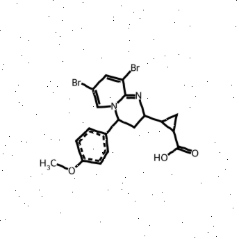 COc1ccc(C2CC(C3CC3C(=O)O)N=C3C(Br)=CC(Br)=CN32)cc1